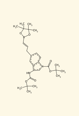 CC(C)(C)OC(=O)Nc1cn(C(=O)OC(C)(C)C)c2ccc(CC=CB3OC(C)(C)C(C)(C)O3)cc12